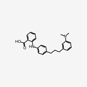 CN(C)c1cccc(CCCc2ccc(Nc3ccccc3C(=O)O)cc2)c1